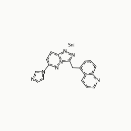 [Sn].c1cc(Cc2nnc3ccc(-n4ccnc4)nn23)c2cccnc2c1